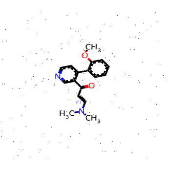 COc1ccccc1-c1ccncc1C(=O)/C=C/N(C)C